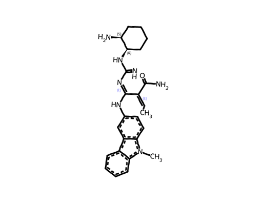 C/C=C(C(N)=O)\C(=N/C(=N)N[C@@H]1CCCC[C@@H]1N)Nc1ccc2c(c1)c1ccccc1n2C